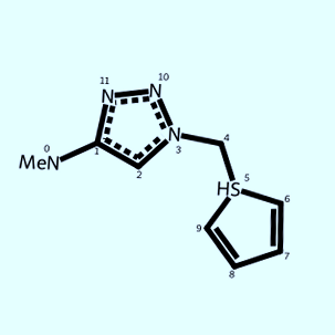 CNc1cn(C[SH]2C=CC=C2)nn1